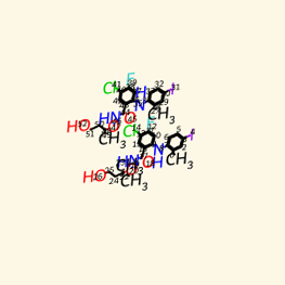 Cc1cc(I)ccc1Nc1cc(F)c(Cl)cc1C(=O)NOC(C)(C)CCO.Cc1cc(I)ccc1Nc1cc(F)c(Cl)cc1C(=O)NOC(C)CCO